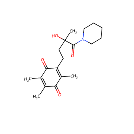 CC1=C(C)C(=O)C(CCC(C)(O)C(=O)N2CCCCC2)=C(C)C1=O